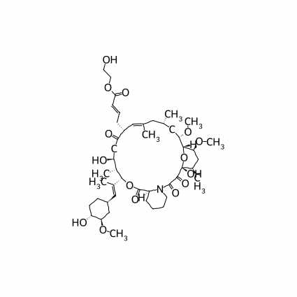 CO[C@H]1C[C@@H](C)C/C(C)=C/[C@@H](C/C=C/C(=O)OCCO)C(=O)C[C@H](O)[C@@H](C)[C@@H](/C(C)=C/[C@@H]2CC[C@@H](O)[C@H](OC)C2)OC(=O)[C@@H]2CCCCN2C(=O)C(=O)[C@]2(O)O[C@H]1[C@@H](OC)C[C@H]2C